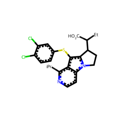 CCC(C(=O)O)C1CCn2c1c(Sc1ccc(Cl)c(Cl)c1)c1c(C(C)C)nccc12